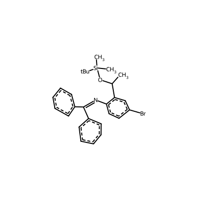 CC(O[Si](C)(C)C(C)(C)C)c1cc(Br)ccc1N=C(c1ccccc1)c1ccccc1